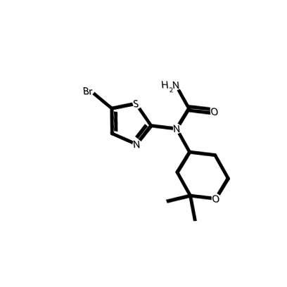 CC1(C)CC(N(C(N)=O)c2ncc(Br)s2)CCO1